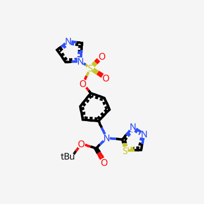 CC(C)(C)OC(=O)N(c1ccc(OS(=O)(=O)n2ccnc2)cc1)c1nncs1